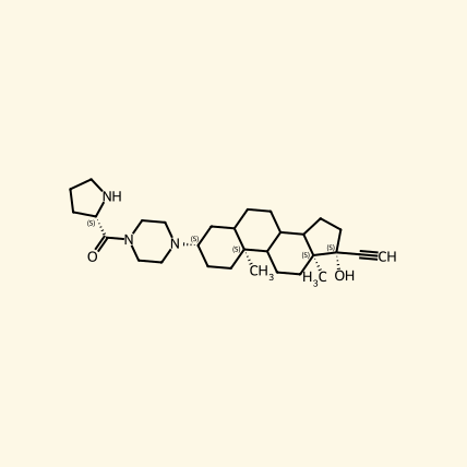 C#C[C@]1(O)CCC2C3CCC4C[C@@H](N5CCN(C(=O)[C@@H]6CCCN6)CC5)CC[C@]4(C)C3CC[C@@]21C